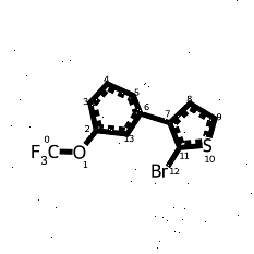 FC(F)(F)Oc1cccc(-c2ccsc2Br)c1